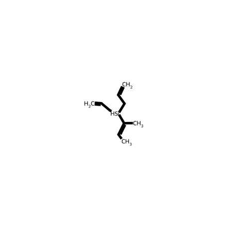 C=CC[SiH](CC=C)/C(C)=C/C